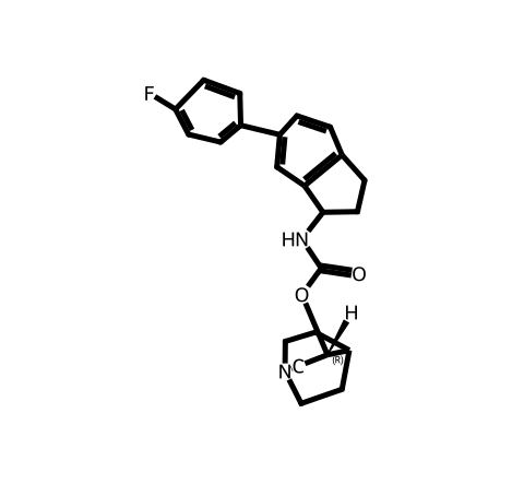 O=C(NC1CCc2ccc(-c3ccc(F)cc3)cc21)O[C@H]1CN2CCC1CC2